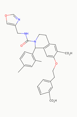 Cc1ccc(C2c3cc(OCCc4cccc(C(=O)O)c4)c(C(=O)O)cc3CCN2C(=O)NCc2cocn2)c(C)c1